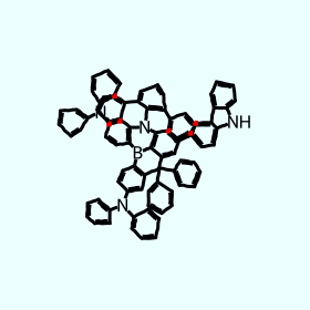 c1ccc(-c2cccc(-c3ccccc3)c2N2c3cc(N(c4ccccc4)c4ccccc4)ccc3B3c4ccc(N(c5ccccc5)c5ccccc5)cc4C(c4ccccc4)(c4ccccc4)c4cc(-c5ccc6[nH]c7ccccc7c6c5)cc2c43)cc1